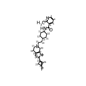 Cc1ncccc1C(=O)N[C@H]1CC[C@H](CCN2CCc3sc(C45CC(F)(C4)C5)nc3C2)CC1